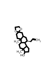 C=CC[C@@H]1CC2CC3(CCC2(C)C2CCC4(C)C(O)CCC4C21)OCCO3